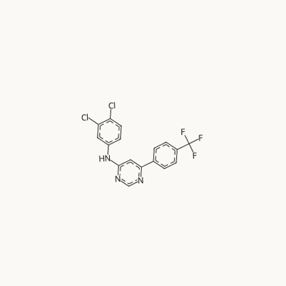 FC(F)(F)c1ccc(-c2cc(Nc3ccc(Cl)c(Cl)c3)ncn2)cc1